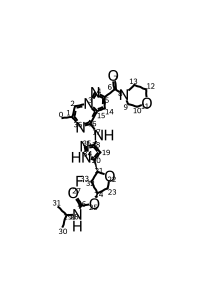 Cc1cn2nc(C(=O)N3CCOCC3)cc2c(Nc2cc([C@H]3OC[C@@H](OC(=O)NC(C)C)[C@@H]3F)[nH]n2)n1